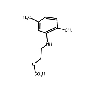 Cc1ccc(C)c(NCCOS(=O)(=O)O)c1